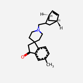 Cc1ccc2c(c1)C(=O)CC21CCN(CC2C[C@H]3C=C[C@H]2C3)CC1